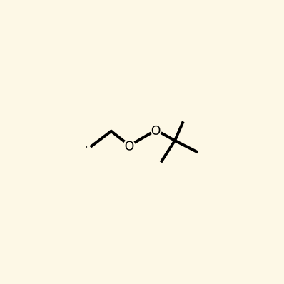 [CH2]COOC(C)(C)C